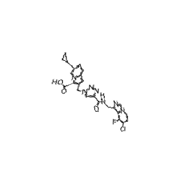 O=C(NCc1ncn2ccc(Cl)c(F)c12)c1cn(Cc2cc3ccc(C4CC4)cn3c2C(=O)O)nn1